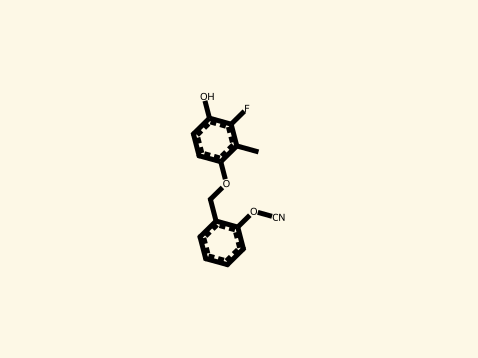 Cc1c(OCc2ccccc2OC#N)ccc(O)c1F